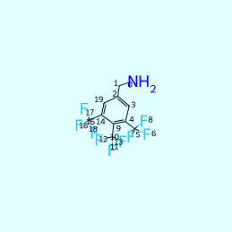 NCc1cc(C(F)(F)F)c(C(F)(F)F)c(C(F)(F)F)c1